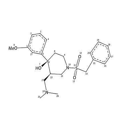 COc1cccc([C@]2(O)CCN(S(=O)(=O)Cc3ccccc3)C[C@H]2CN(C)C)c1